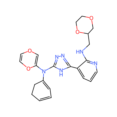 C1=CCCC(N(C2=COC=CO2)c2nnc(-c3cccnc3NCC3COCCO3)[nH]2)=C1